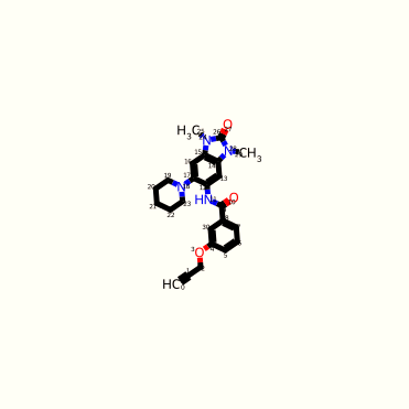 C#CCOc1cccc(C(=O)Nc2cc3c(cc2N2CCCCC2)n(C)c(=O)n3C)c1